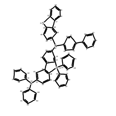 c1ccc(-c2ccc(N(c3ccc4c(c3)[Si](c3ccccc3)(c3ccccc3)c3ccc(N(c5ccccc5)c5ccccc5)cc3-4)c3ccc4sc5ccccc5c4c3)cc2)cc1